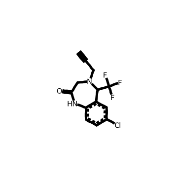 C#CCN1CC(=O)Nc2ccc(Cl)cc2C1C(F)(F)F